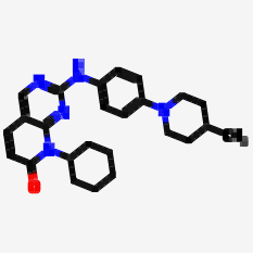 CC1CCN(c2ccc(Nc3ncc4ccc(=O)n(C5CCCCC5)c4n3)cc2)CC1